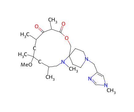 COC1(C)CC(C)CN(C)C2(CCN(Cc3cn(C)cn3)CC2)COC(=O)C(C)C(=O)C(C)C1